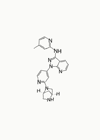 Cc1ccnc(Nc2nn(-c3ccnc(N4C[C@@H]5C[C@H]4CN5)c3)c3ncccc23)c1